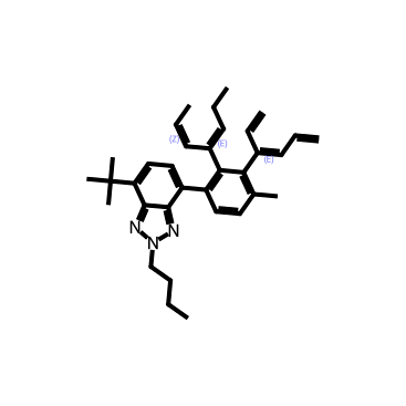 C=C/C=C(\C=C)c1c(C)ccc(-c2ccc(C(C)(C)C)c3nn(CCCC)nc23)c1C(/C=C\C)=C/CC